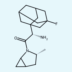 C[C@@H]1CC2CC2N1C(=O)[C@@H](N)C12CC3CC(CC(F)(C3)C1)C2